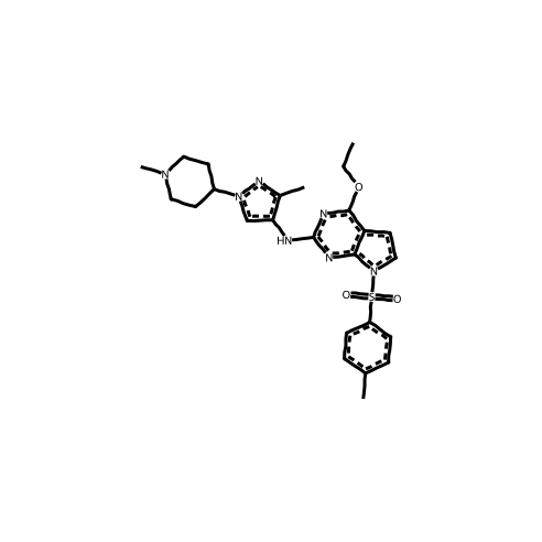 CCOc1nc(Nc2cn(C3CCN(C)CC3)nc2C)nc2c1ccn2S(=O)(=O)c1ccc(C)cc1